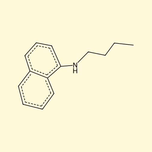 CCCCNc1cccc2ccccc12